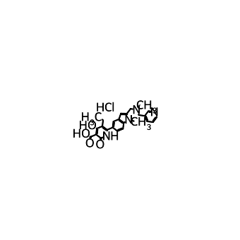 CCc1c(-c2ccc3c(c2)cc(CN(C)Cc2cccnc2)n3C)[nH]c(=O)c(C(=O)O)c1O.Cl